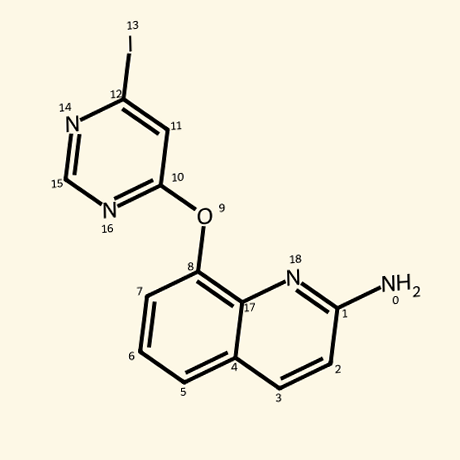 Nc1ccc2cccc(Oc3cc(I)ncn3)c2n1